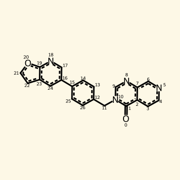 O=c1c2ccncc2ncn1Cc1ccc(-c2cnc3occc3c2)cc1